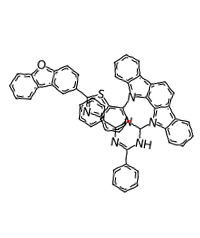 c1ccc(C2=NC(n3c4ccccc4c4ccc5c6ccccc6n(-c6cccc7nc(-c8ccc9oc%10ccccc%10c9c8)sc67)c5c43)NC(c3ccccc3)=N2)cc1